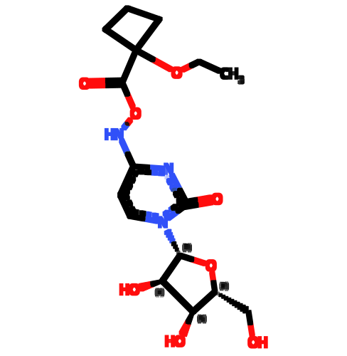 CCOC1(C(=O)ONc2ccn([C@@H]3O[C@H](CO)[C@@H](O)[C@H]3O)c(=O)n2)CCC1